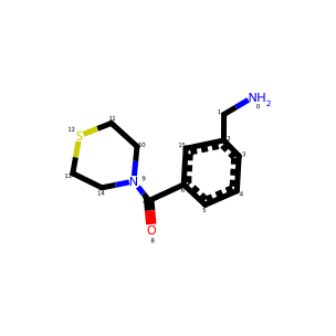 NCc1cccc(C(=O)N2CCSCC2)c1